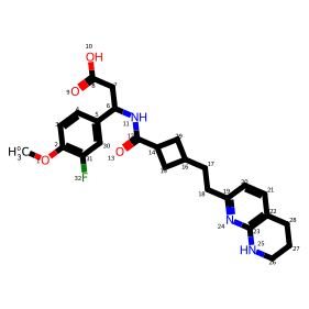 COc1ccc(C(CC(=O)O)NC(=O)C2CC(CCc3ccc4c(n3)NCCC4)C2)cc1F